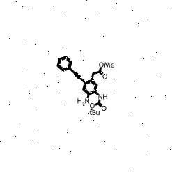 COC(=O)Cc1cc(NC(=O)OC(C)(C)C)c(N)cc1C#Cc1ccccc1